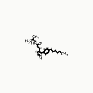 CCCCCCc1ccc(-c2[nH]ncc2CCC(=O)NN=C(C)C)cc1